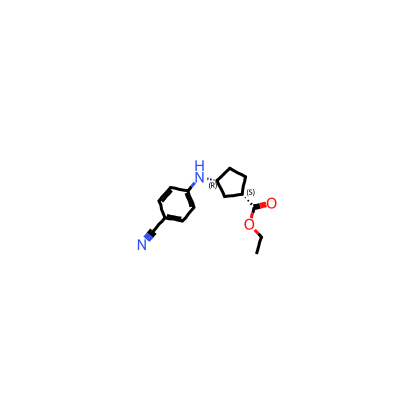 CCOC(=O)[C@H]1CC[C@@H](Nc2ccc(C#N)cc2)C1